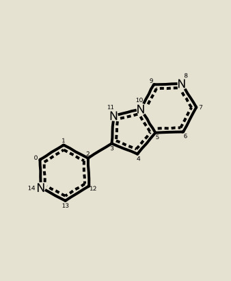 c1cc(-c2cc3ccncn3n2)ccn1